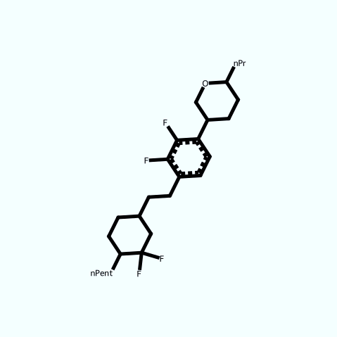 CCCCCC1CCC(CCc2ccc(C3CCC(CCC)OC3)c(F)c2F)CC1(F)F